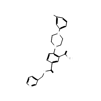 Cc1cccc(N2CCN(c3ccc(C(=O)NCc4cccnc4)cc3C(N)=O)CC2)c1